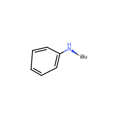 [CH2]C[C@H](C)Nc1ccccc1